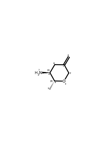 C=C1CO[C@H](C)[C@@H](N)C1